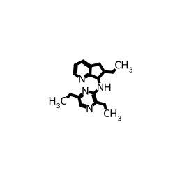 CCc1cnc(CC)c(NC2c3ncccc3CC2CC)n1